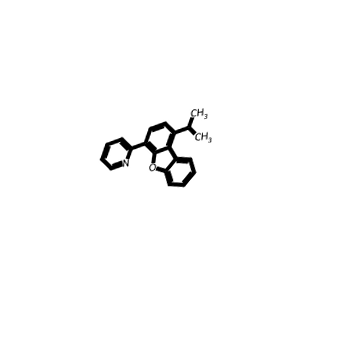 CC(C)c1ccc(-c2ccccn2)c2oc3ccccc3c12